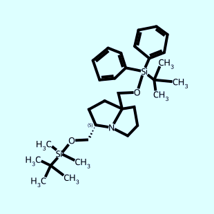 CC(C)(C)[Si](C)(C)OC[C@@H]1CCC2(CO[Si](c3ccccc3)(c3ccccc3)C(C)(C)C)CCCN12